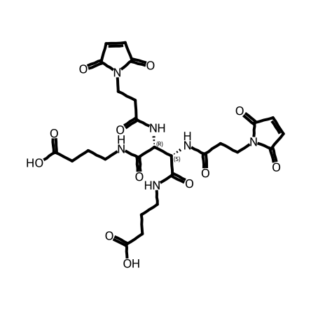 O=C(O)CCCNC(=O)[C@@H](NC(=O)CCN1C(=O)C=CC1=O)[C@@H](NC(=O)CCN1C(=O)C=CC1=O)C(=O)NCCCC(=O)O